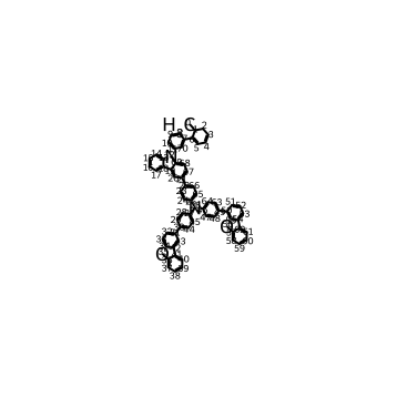 CC1CC=CC=C1c1cccc(-n2c3ccccc3c3cc(-c4ccc(N(c5ccc(-c6ccc7oc8ccccc8c7c6)cc5)c5ccc(-c6cccc7c6oc6ccccc67)cc5)cc4)ccc32)c1